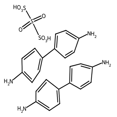 Nc1ccc(-c2ccc(N)cc2)cc1.Nc1ccc(-c2ccc(N)cc2)cc1.O=S(=O)(O)S(=O)(=O)S(=O)(=O)O